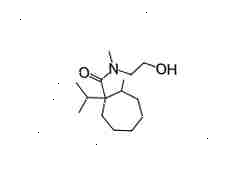 CC(C)C1(C(=O)N(C)CCO)CCCCCC1C